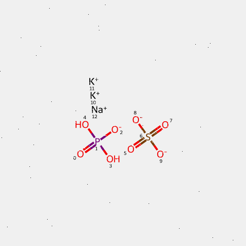 O=P([O-])(O)O.O=S(=O)([O-])[O-].[K+].[K+].[Na+]